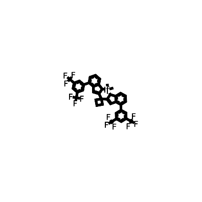 [CH3][Hf]1([CH3])[CH]2C(=Cc3c(-c4cc(C(F)(F)F)cc(C(F)(F)F)c4)cccc32)C2(CCC2)C2=Cc3c(-c4cc(C(F)(F)F)cc(C(F)(F)F)c4)cccc3[CH]21